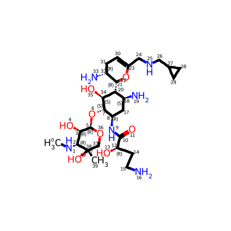 CN[C@@H]1[C@@H](O)[C@@H](O[C@H]2[C@H](NC(=O)[C@H](O)CCN)C[C@H](N)C([C@H]3OC(CNCC4CC4)=CC[C@H]3N)[C@@H]2O)OC[C@]1(C)O